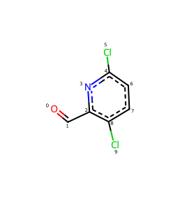 O=Cc1nc(Cl)ccc1Cl